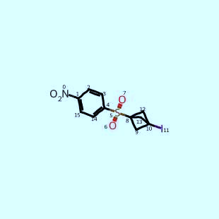 O=[N+]([O-])c1ccc(S(=O)(=O)C23CC(I)(C2)C3)cc1